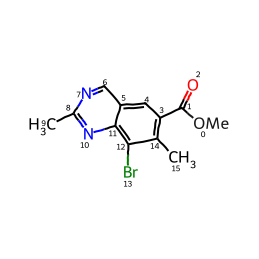 COC(=O)c1cc2cnc(C)nc2c(Br)c1C